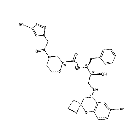 CCCc1cn(CC(=O)N2CCO[C@H](C(=O)N[C@@H](Cc3ccccc3)[C@@H](O)CN[C@H]3CC4(CCC4)Oc4ccc(Br)cc43)C2)nn1